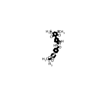 COC1=C(Cl)C(c2ccc3c(NC(=O)c4ccc(N5CCN(C(=O)C(C)(C)C)CC5)cc4)n[nH]c3c2)=C(Cl)C(OC)C1